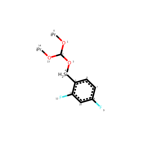 CC(C)OC(O[SiH2]c1ccc(F)cc1F)OC(C)C